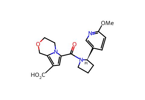 COc1ccc([C@H]2CCCN2C(=O)c2cc(C(=O)O)c3n2CCOC3)cn1